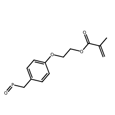 C=C(C)C(=O)OCCOc1ccc(CP=O)cc1